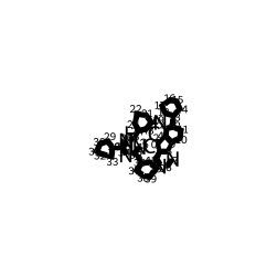 CC1(C)c2cncnc2-c2ccc3c4ccccc4n(-c4cccc(-c5nc(-c6ccccc6)nc(-c6ccccc6)n5)c4)c3c21